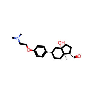 CN(C)CCOc1ccc([C@H]2CC[C@]3(C)[C@@H](C=O)CC[C@]3(O)C2)cc1